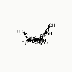 CCCOCCOC(C)(CC)CCOC(C)(C)C(C)(CC)COC(C)(CC)CCOCC(O)COCCCO